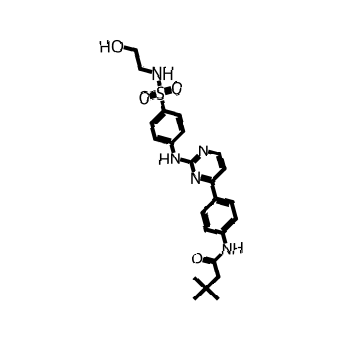 CC(C)(C)CC(=O)Nc1ccc(-c2ccnc(Nc3ccc(S(=O)(=O)NCCO)cc3)n2)cc1